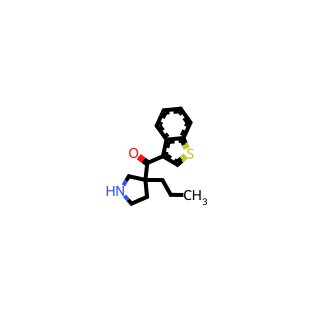 CCCC1(C(=O)c2csc3ccccc23)CCNC1